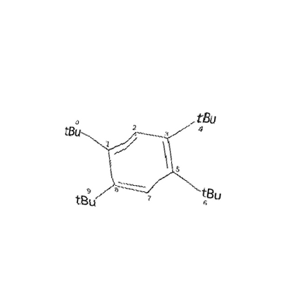 CC(C)(C)c1[c]c(C(C)(C)C)c(C(C)(C)C)cc1C(C)(C)C